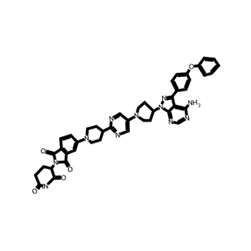 Nc1ncnc2c1c(-c1ccc(Oc3ccccc3)cc1)nn2C1CCN(c2cnc(C3CCN(c4ccc5c(c4)C(=O)N(C4CCC(=O)NC4=O)C5=O)CC3)nc2)CC1